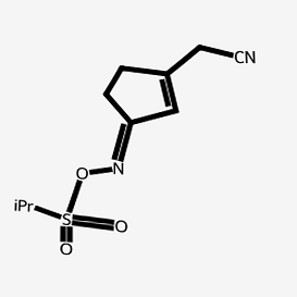 CC(C)S(=O)(=O)ON=C1C=C(CC#N)CC1